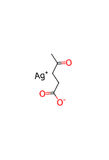 CC(=O)CCC(=O)[O-].[Ag+]